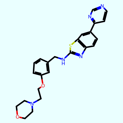 c1cc(CNc2nc3ccc(-c4ccncn4)cc3s2)cc(OCCN2CCOCC2)c1